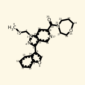 CSCn1nc(-c2coc3ccccc23)c2cnc(C(=O)N3CCCOCC3)cc21